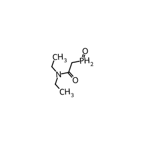 CCN(CC)C(=O)C[PH2]=O